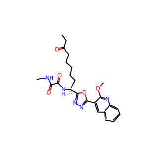 CCC(=O)CCCCC[C@H](NC(=O)C(=O)NC)c1nnc(-c2cc3ccccc3nc2OC)o1